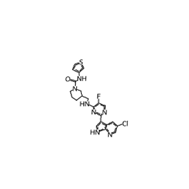 O=C(Nc1ccsc1)N1CCCC(CNc2nc(-c3c[nH]c4ncc(Cl)cc34)ncc2F)C1